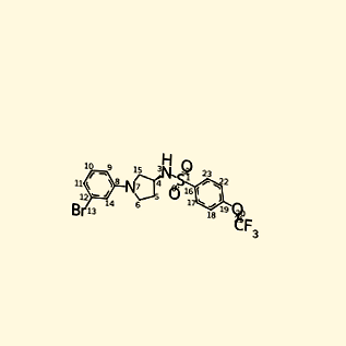 O=S(=O)(N[C@H]1CCN(c2cccc(Br)c2)C1)c1ccc(OC(F)(F)F)cc1